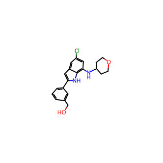 OCc1cccc(-c2cc3cc(Cl)cc(NC4CCOCC4)c3[nH]2)c1